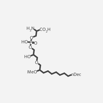 CCCCCCCCCCCCCCCCCC(COCC(O)COP(=O)(O)OCC(N)C(=O)O)OC